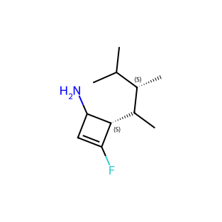 CC(C)[C@H](C)C(C)[C@@H]1C(F)=CC1N